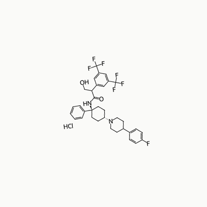 Cl.O=C(N[C@]1(c2ccccc2)CC[C@@H](N2CCC(c3ccc(F)cc3)CC2)CC1)C(CO)c1cc(C(F)(F)F)cc(C(F)(F)F)c1